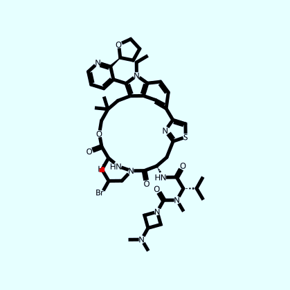 CCn1c(-c2cccnc2[C@@H]2CCCO2)c2c3cc(ccc31)-c1csc(n1)C[C@H](NC(=O)[C@H](C(C)C)N(C)C(=O)N1CC(N(C)C)C1)C(=O)N1CC(Br)C[C@H](N1)C(=O)OCC(C)(C)C2